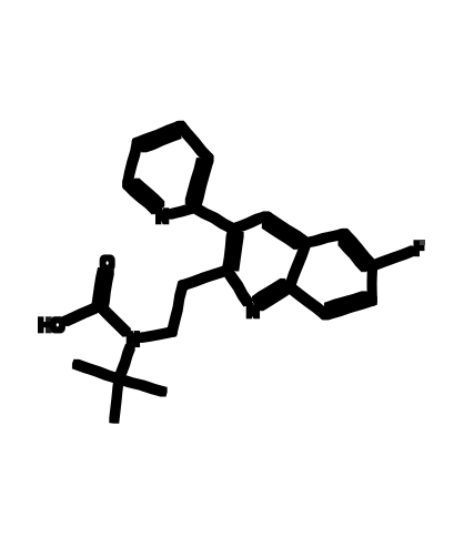 CC(C)(C)N(CCc1nc2ccc(F)cc2cc1-c1ccccn1)C(=O)O